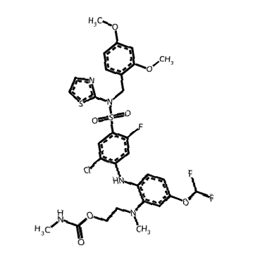 CNC(=O)OCCN(C)c1cc(OC(F)F)ccc1Nc1cc(F)c(S(=O)(=O)N(Cc2ccc(OC)cc2OC)c2nccs2)cc1Cl